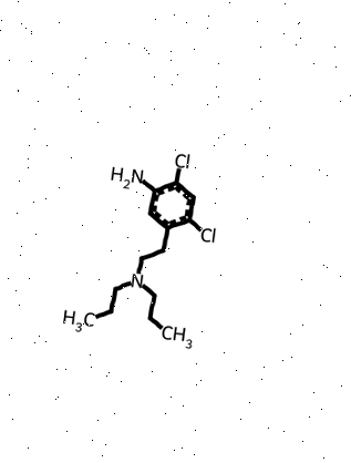 CCCN(CCC)CCc1cc(N)c(Cl)cc1Cl